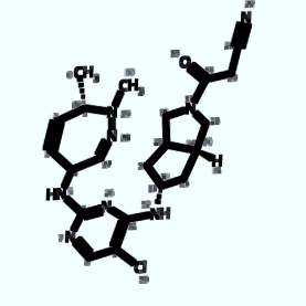 C[C@H]1C#CC(Nc2ncc(Cl)c(N[C@@H]3CC4CN(C(=O)CC#N)C[C@@H]4C3)n2)C=NN1C